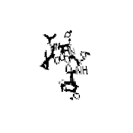 COC[C@H](NC(=O)c1cc(OC)no1)C(=O)N[C@@H](COC)C(=O)N[C@@H](CC(C)C)C(=O)C1(C)CC1